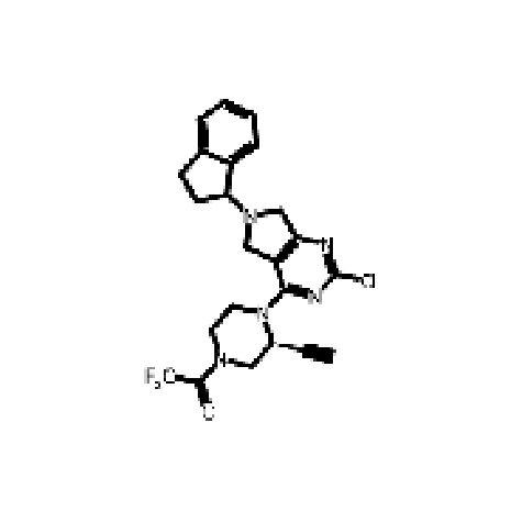 C#C[C@H]1CN(C(=O)C(F)(F)F)CCN1c1nc(Cl)nc2c1CN(C1CCc3ccccc31)C2